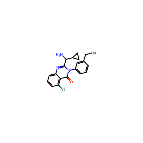 N#CCc1cccc(-n2c(C(N)C3CC3)nc3cccc(Cl)c3c2=O)c1